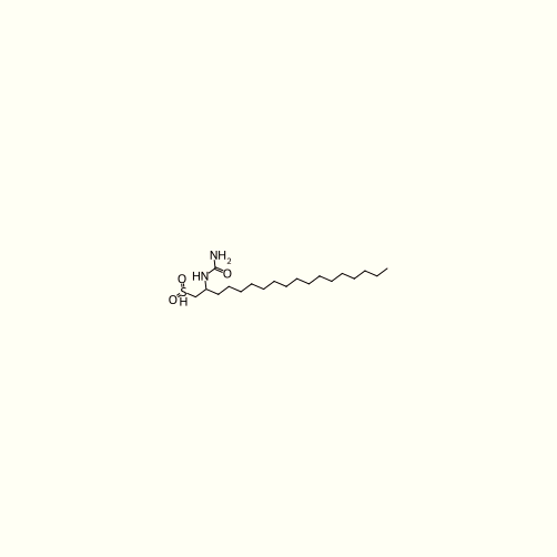 CCCCCCCCCCCCCCCCC(C[SH](=O)=O)NC(N)=O